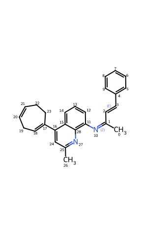 CC(/C=C/c1ccccc1)=N/c1cccc2c(C3=CCC=CCC3)cc(C)nc12